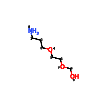 NCCCOCCOCO